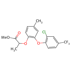 COC(=O)C(C)Oc1ccc(C)cc1Oc1ccc(C(F)(F)F)cc1Cl